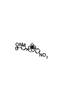 COC(=O)c1ccc([C@@H]2CCO[P@@](=O)(Oc3ccc([N+](=O)[O-])cc3)O2)cc1